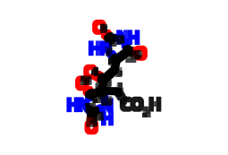 O=C(O)CC1(C(=O)CC2NC(=O)NC2=O)NC(=O)NC1=O